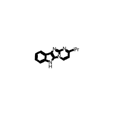 CC(C)c1ccn2c(n1)nc1c3ccccc3[nH]c12